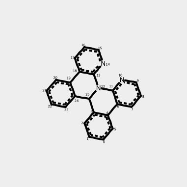 c1ccc2c(c1)-c1cccnc1N1c3ncccc3-c3ccccc3C21